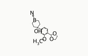 COc1cc(C2(O)CCB(C#N)CC2)ccc1C1OCCO1